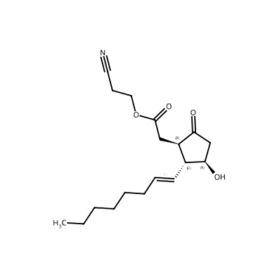 CCCCCC/C=C/[C@H]1[C@H](O)CC(=O)[C@@H]1CC(=O)OCCC#N